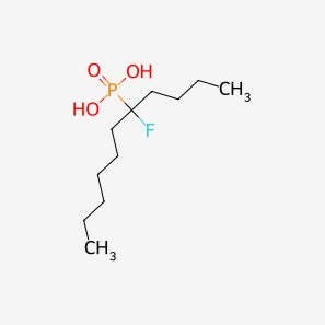 CCCCCCC(F)(CCCC)P(=O)(O)O